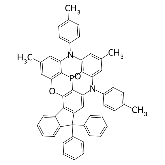 Cc1ccc(N2c3cc(C)cc4c3P3(=O)c5c2cc(C)cc5N(c2ccc(C)cc2)c2cc5c(c(c23)O4)-c2ccccc2C5(c2ccccc2)c2ccccc2)cc1